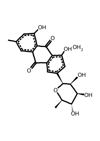 Cc1cc(O)c2c(c1)C(=O)c1cc([C@@H]3O[C@H](C)[C@@H](O)[C@H](O)[C@@H]3O)cc(O)c1C2=O.O